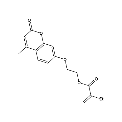 C=C(CC)C(=O)OCCOc1ccc2c(C)cc(=O)oc2c1